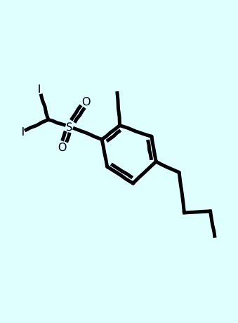 CCCCc1ccc(S(=O)(=O)C(I)I)c(C)c1